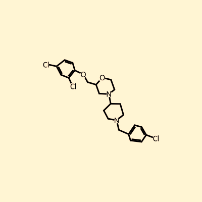 Clc1ccc(CN2CCC(N3CCOC(COc4ccc(Cl)cc4Cl)C3)CC2)cc1